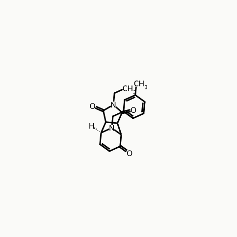 CCN1C(=O)C2C(C1=O)[C@@H]1C=CC(=O)C2N1Cc1cccc(C)c1